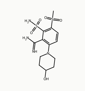 CS(=O)(=O)c1ccc(N2CCC(O)CC2)c(C(=N)N)c1S(N)(=O)=O